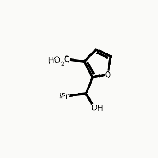 CC(C)C(O)c1occc1C(=O)O